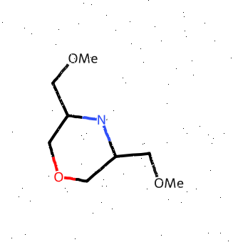 COCC1COCC(COC)[N]1